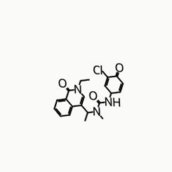 CCn1cc(C(C)N(C)C(=O)NC2C=CC(=O)C(Cl)=C2)c2ccccc2c1=O